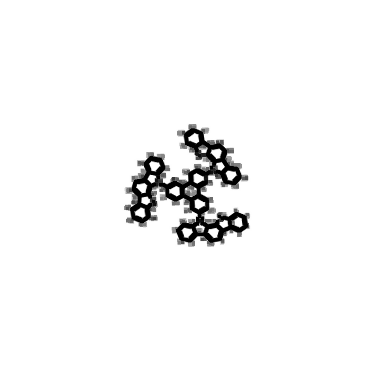 c1ccc2c(c1)sc1c2ccc2c3ccccc3n(-c3ccc4c(c3)c3ccc(-n5c6ccccc6c6ccc7c8ccccc8sc7c65)cc3c3ccc(-n5c6ccccc6c6ccc7c8ccccc8sc7c65)cc43)c21